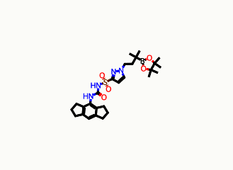 CC(C)(CCn1ccc(S(=O)(=O)NC(=O)Nc2c3c(cc4c2CCC4)CCC3)n1)B1OC(C)(C)C(C)(C)O1